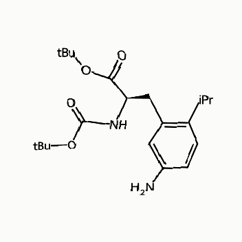 CC(C)c1ccc(N)cc1C[C@@H](NC(=O)OC(C)(C)C)C(=O)OC(C)(C)C